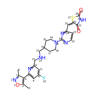 Cc1noc(C)c1-c1cc(F)cc(CNCC2CCN(c3nccc(/C=C4/SC(=O)NC4=O)n3)CC2)n1